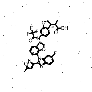 Cc1cc(-c2nc3ccc(F)cc3n2-c2cccc3c2OC[C@H]3N(C(=O)C(F)(F)F)c2ccc3c(c2)OC[C@H]3C(C)C(=O)O)no1